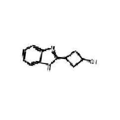 OC1CC(c2nc3ccccc3[nH]2)C1